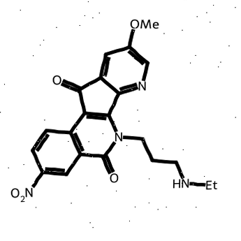 CCNCCCn1c2c(c3ccc([N+](=O)[O-])cc3c1=O)C(=O)c1cc(OC)cnc1-2